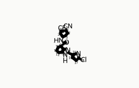 N#Cc1ccc(NC(=O)c2cccc3[nH]c(-c4ccc(Cl)nc4)nc23)cc1C(F)(F)F